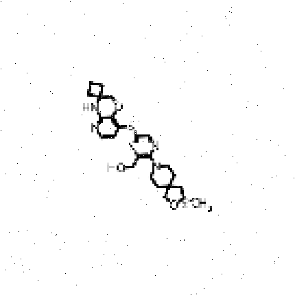 C[C@H]1CC2(CCN(c3ncc(Sc4ccnc5c4OCC4(CCC4)N5)nc3CO)CC2)CO1